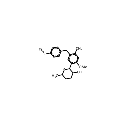 CCOc1ccc(Cc2cc(C3SC(C)CCC3O)c(OC)cc2C)cc1